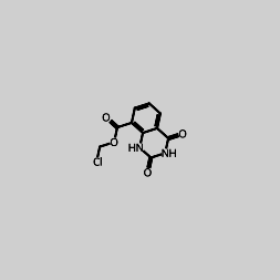 O=C(OCCl)c1cccc2c(=O)[nH]c(=O)[nH]c12